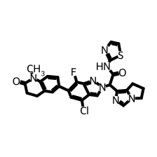 CN1C(=O)CCc2cc(-c3cc(Cl)c4cn(C(C(=O)Nc5nccs5)c5ncn6c5CCC6)nc4c3F)ccc21